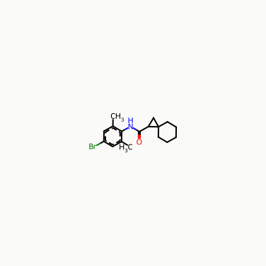 Cc1cc(Br)cc(C)c1NC(=O)C1CC12CCCCC2